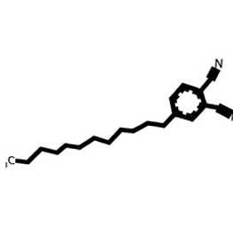 CCCCCCCCCCCCc1ccc(C#N)c(C#N)c1